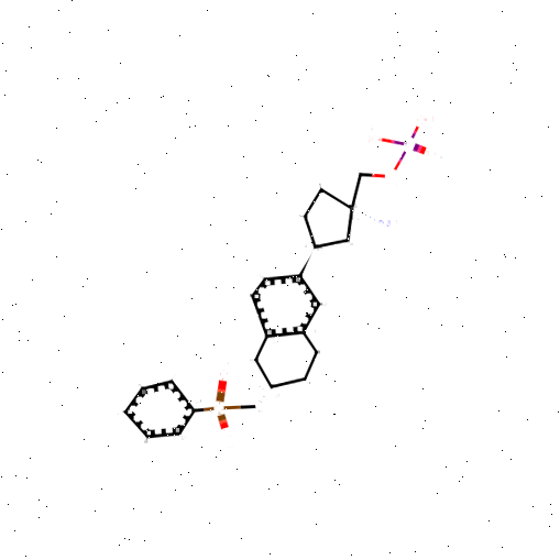 N[C@@]1(COP(=O)(O)O)CC[C@H](c2ccc3c(c2)CC[C@H](CS(=O)(=O)c2ccccc2)C3)C1